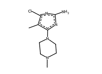 Cc1c(Cl)nc(N)nc1N1CCN(C)CC1